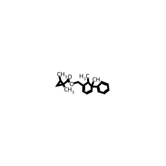 CC1CC1(C)C(=O)OCC1=CC=CC(C)(c2ccccc2)C1C